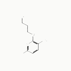 N#Cc1ccc(C(=O)O)nc1NCCCO